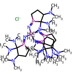 CN(C)C1CC[P](=N[P+](N=[P]2CCC(N(C)C)C2(N(C)C)N(C)C)(N=[P]2CCC(N(C)C)C2(N(C)C)N(C)C)N=[P]2CCC(N(C)C)C2(N(C)C)N(C)C)C1(N(C)C)N(C)C.[Cl-]